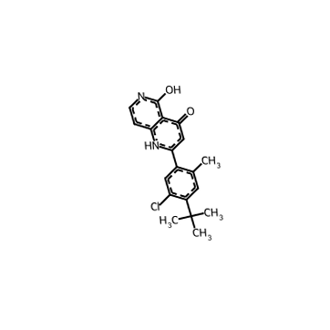 Cc1cc(C(C)(C)C)c(Cl)cc1-c1cc(=O)c2c(O)nccc2[nH]1